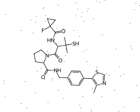 Cc1ncsc1-c1ccc(CNC(=O)C2CCCN2C(=O)C(NC(=O)C2(F)CC2)C(C)(C)S)cc1